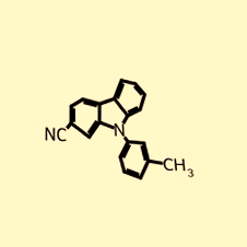 Cc1cccc(-n2c3ccccc3c3ccc(C#N)cc32)c1